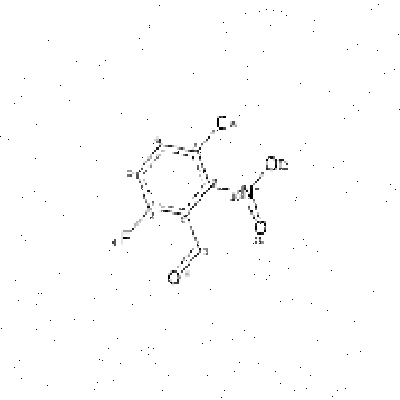 O=Cc1c(F)ccc(Cl)c1[N+](=O)[O-]